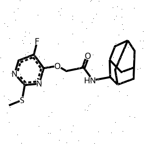 CSc1ncc(F)c(OCC(=O)NC2C3CC4CC(C3)CC2C4)n1